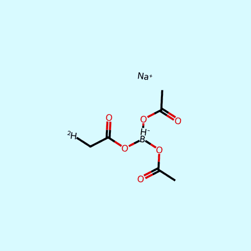 [2H]CC(=O)O[BH-](OC(C)=O)OC(C)=O.[Na+]